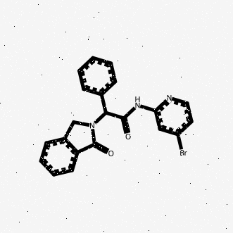 O=C(Nc1cc(Br)ccn1)C(c1ccccc1)N1Cc2ccccc2C1=O